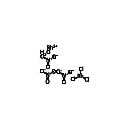 O.O=[N+]([O-])[O-].O=[N+]([O-])[O-].O=[N+]([O-])[O-].[Cl][Rh]([Cl])[Cl].[Rh+3]